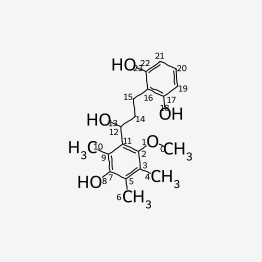 COc1c(C)c(C)c(O)c(C)c1C(O)CCc1c(O)cccc1O